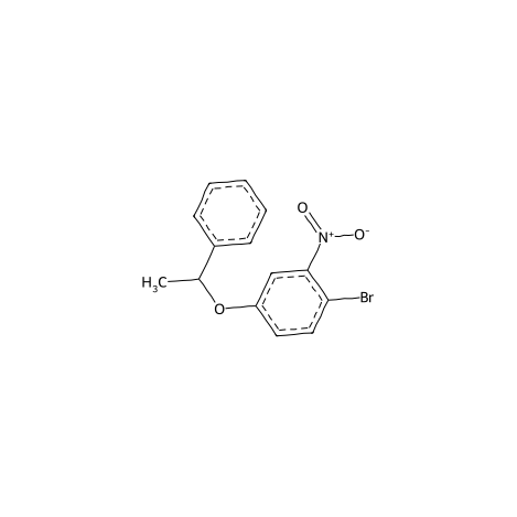 CC(Oc1ccc(Br)c([N+](=O)[O-])c1)c1ccccc1